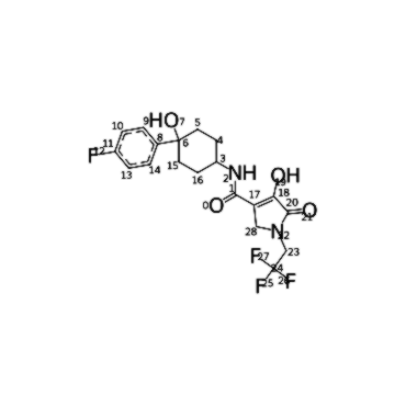 O=C(NC1CCC(O)(c2ccc(F)cc2)CC1)C1=C(O)C(=O)N(CC(F)(F)F)C1